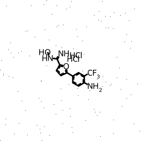 Cl.Cl.N=C(NO)c1ccc(-c2ccc(N)c(C(F)(F)F)c2)o1